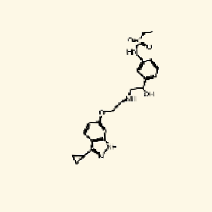 CCS(=O)(=O)Nc1cccc(C(O)CNCCOc2ccc3c(C4CC4)n[nH]c3c2)c1